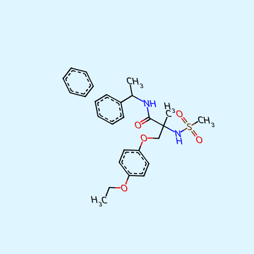 CCOc1ccc(OCC(C)(NS(C)(=O)=O)C(=O)NC(C)c2ccccc2)cc1.c1ccccc1